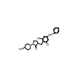 O=C1C(Cc2c(Cl)cc(OCc3ccccc3)cc2Cl)CCN1N1CCC(O)CC1